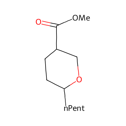 CCCCCC1CCC(C(=O)OC)CO1